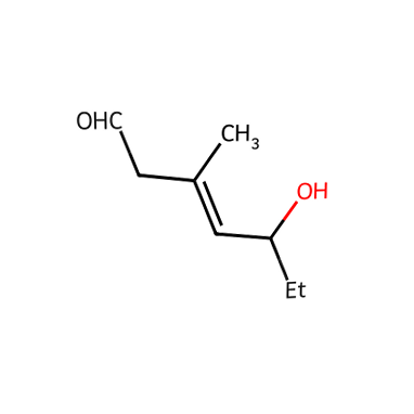 CCC(O)/C=C(\C)CC=O